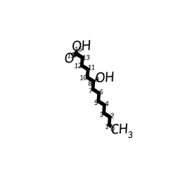 CCCCCCCC[C@@H](O)CCCCC(=O)O